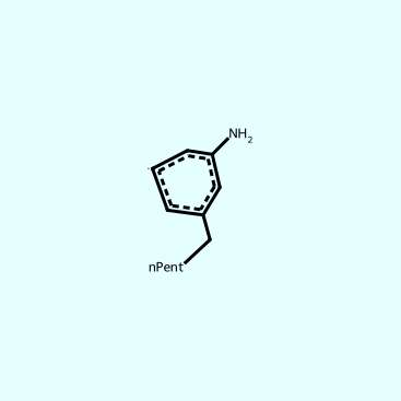 CCCCCCc1c[c]cc(N)c1